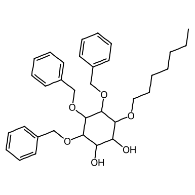 CCCCCCCOC1C(O)C(O)C(OCc2ccccc2)C(OCc2ccccc2)C1OCc1ccccc1